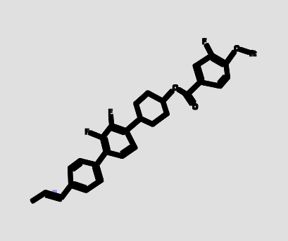 C/C=C/c1ccc(-c2ccc(C3CCC(OC(=O)c4ccc(OCC)c(F)c4)CC3)c(F)c2F)cc1